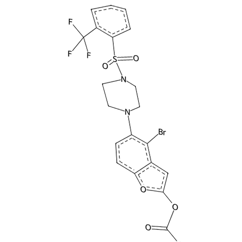 O=C(O)Oc1cc2c(Br)c(N3CCN(S(=O)(=O)c4ccccc4C(F)(F)F)CC3)ccc2o1